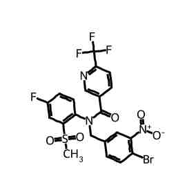 CS(=O)(=O)c1cc(F)ccc1N(Cc1ccc(Br)c([N+](=O)[O-])c1)C(=O)c1ccc(C(F)(F)F)nc1